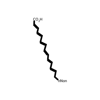 CCCCCCCCCCC=CC=CC=CC=CC=CC=CC(=O)O